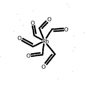 O=[CH][Rh]([CH]=O)([CH]=O)([CH]=O)([CH]=O)[CH]=O